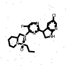 CCCS(=O)(=O)N1CCCCC1CNc1nc(C2CNc3ncc(Cl)cc32)ncc1F